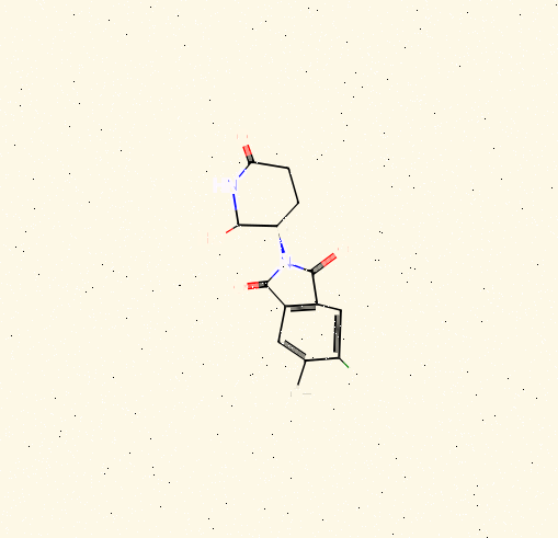 Cc1cc2c(cc1F)C(=O)N([C@@H]1CCC(=O)NC1O)C2=O